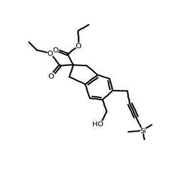 CCOC(=O)C1(C(=O)OCC)Cc2cc(CO)c(CC#C[Si](C)(C)C)cc2C1